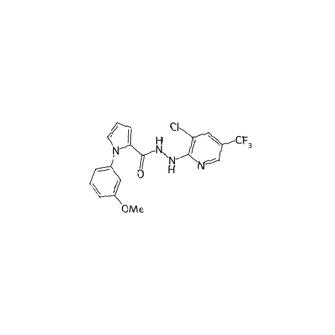 COc1cccc(-n2cccc2C(=O)NNc2ncc(C(F)(F)F)cc2Cl)c1